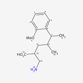 COc1ccccc1C(C)C(C)CC(CN)C(=O)O